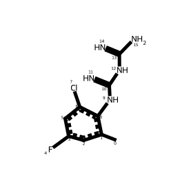 Cc1cc(F)cc(Cl)c1NC(=N)NC(=N)N